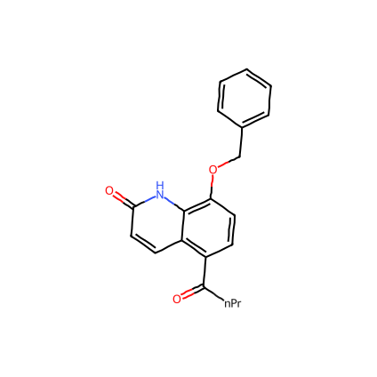 CCCC(=O)c1ccc(OCc2ccccc2)c2[nH]c(=O)ccc12